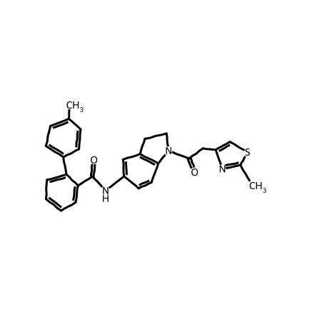 Cc1ccc(-c2ccccc2C(=O)Nc2ccc3c(c2)CCN3C(=O)Cc2csc(C)n2)cc1